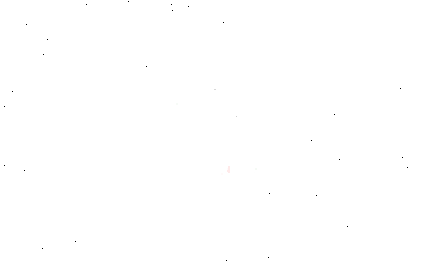 CC(CO)(CBr)CBr